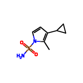 Cc1c(C2CC2)ccn1S(N)(=O)=O